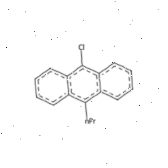 CCCc1c2ccccc2c(Cl)c2ccccc12